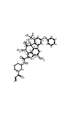 C=CC(=O)N1CCCC(NC(=O)c2sc3c(N)ccc4c3c2C(N)C(=O)C4(N)c2ccc(Oc3ccccc3)cc2C(F)(F)F)C1